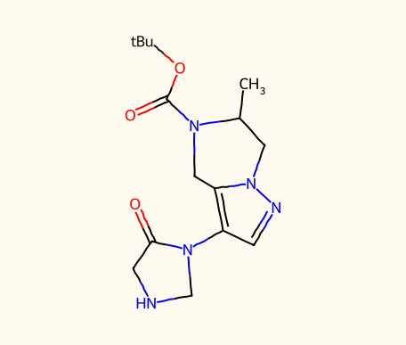 CC1Cn2ncc(N3CNCC3=O)c2CN1C(=O)OC(C)(C)C